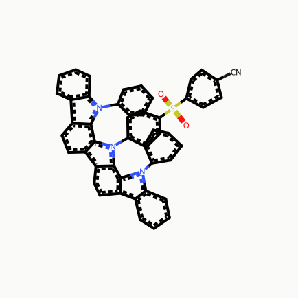 N#Cc1ccc(S(=O)(=O)c2ccc(-n3c4c(ccc5c6ccccc6n(-c6ccccc6)c54)c4ccc5c6ccccc6n(-c6ccccc6)c5c43)cc2)cc1